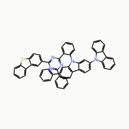 c1ccc(-c2ccc3c4ccc(-n5c6ccccc6c6ccccc65)cc4n(-c4ccccc4-c4nc(-c5ccccc5)nc(-c5ccc6sc7ccccc7c6c5)n4)c3c2)cc1